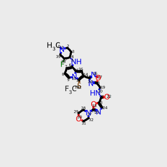 CN1CC[C@@H](Nc2cccn3c(SC(F)(F)F)c(-c4noc(CNC(=O)c5cnc(N6CCOCC6)o5)n4)cc23)[C@@H](F)C1